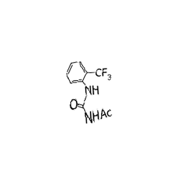 [CH2]C(=O)NC(=O)Nc1ccccc1C(F)(F)F